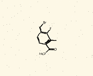 Cc1c(C(=O)O)ccc(CBr)c1F